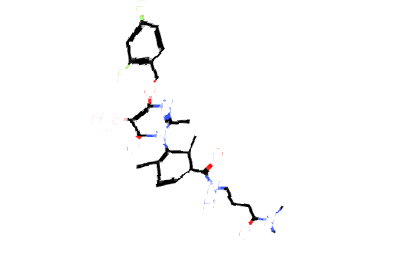 Bc1c(OCc2ccc(F)cc2F)nc(C)n(C2=C(C)C=CC(C(=O)NCCCC(=O)N(C)C)C2C)c1=O